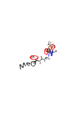 COC(=O)CCCCCN(C)S(C)(=O)=O